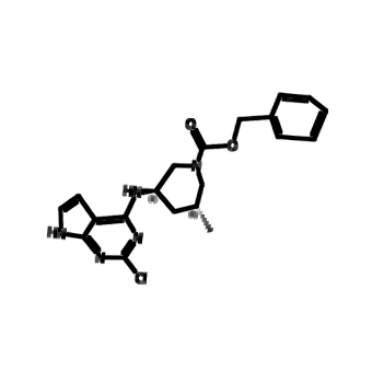 C[C@@H]1C[C@@H](Nc2nc(Cl)nc3[nH]ccc23)CN(C(=O)OCc2ccccc2)C1